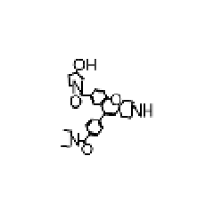 CCN(CC)C(=O)c1ccc(C2=CC3(CCNCC3)Oc3ccc(C(=O)N4CC[C@@H](O)C4)cc32)cc1